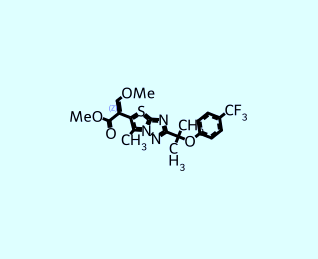 CO/C=C(/C(=O)OC)c1sc2nc(C(C)(C)Oc3ccc(C(F)(F)F)cc3)nn2c1C